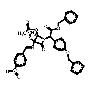 CSC1(N=Cc2ccc([N+](=O)[O-])cc2)C(=O)N(C(C(=O)OCc2ccccc2)c2ccc(OCc3ccccc3)cc2)C1OC(C)=O